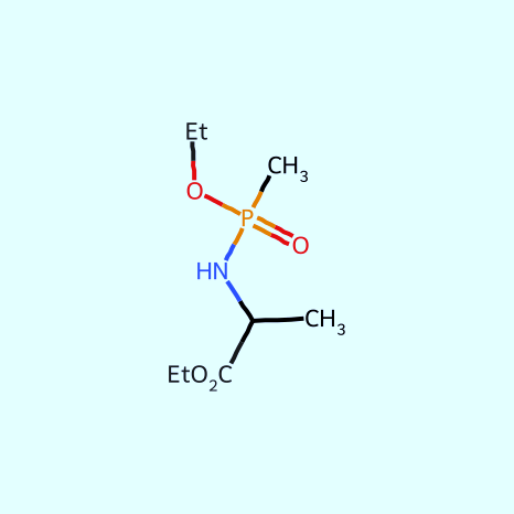 CCOC(=O)C(C)NP(C)(=O)OCC